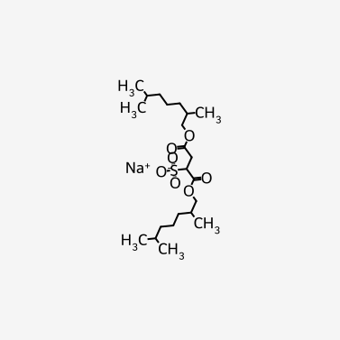 CC(C)CCCC(C)COC(=O)CC(C(=O)OCC(C)CCCC(C)C)S(=O)(=O)[O-].[Na+]